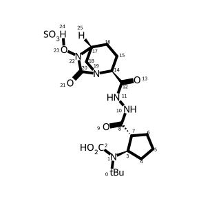 CC(C)(C)N(C(=O)O)[C@@H]1CCC[C@H]1C(=O)NNC(=O)[C@@H]1CC[C@@H]2CN1C(=O)N2OS(=O)(=O)O